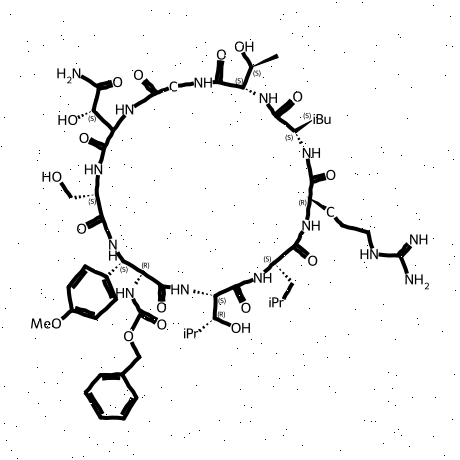 CC[C@H](C)[C@@H]1NC(=O)[C@@H](CCCNC(=N)N)NC(=O)[C@H](CC(C)C)NC(=O)[C@H]([C@H](O)C(C)C)NC(=O)[C@H](NC(=O)OCc2ccccc2)[C@H](c2ccc(OC)cc2)NC(=O)[C@H](CO)NC(=O)C([C@H](O)C(N)=O)NC(=O)CNC(=O)[C@H]([C@H](C)O)NC1=O